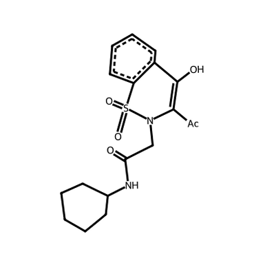 CC(=O)C1=C(O)c2ccccc2S(=O)(=O)N1CC(=O)NC1CCCCC1